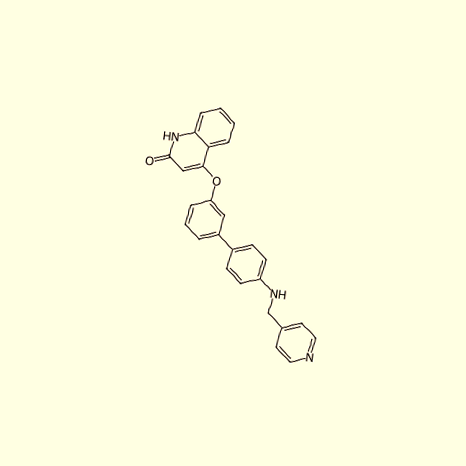 O=c1cc(Oc2cccc(-c3ccc(NCc4ccncc4)cc3)c2)c2ccccc2[nH]1